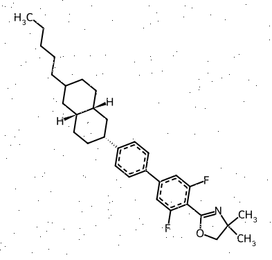 CCCCCC1CC[C@@H]2C[C@H](c3ccc(-c4cc(F)c(C5=NC(C)(C)CO5)c(F)c4)cc3)CC[C@@H]2C1